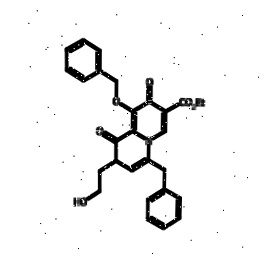 CCOC(=O)c1cn2c(c(OCc3ccccc3)c1=O)C(=O)C(CCO)C=C2Cc1ccccc1